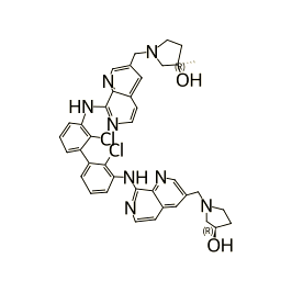 C[C@@]1(O)CCN(Cc2cnc3c(Nc4cccc(-c5cccc(Nc6nccc7cc(CN8CC[C@@H](O)C8)cnc67)c5Cl)c4Cl)nccc3c2)C1